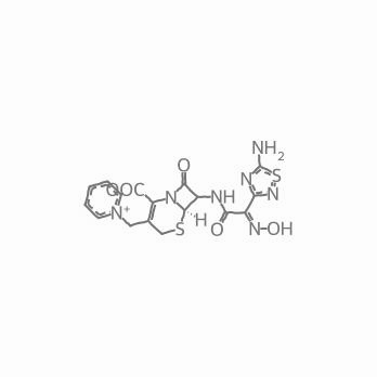 Nc1nc(/C(=N\O)C(=O)NC2C(=O)N3C(C(=O)[O-])=C(C[n+]4ccccc4)CS[C@H]23)ns1